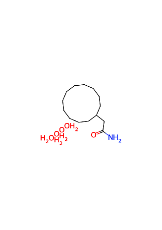 NC(=O)CC1CCCCCCCCCCC1.O.O.O.O